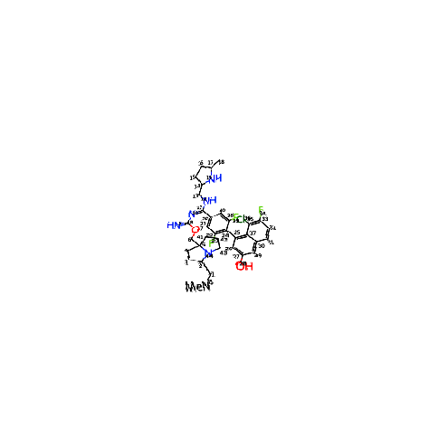 CNCC1CCC2(COC(=N)/N=C(/NCC3CCC(C)N3)c3cc(F)c(-c4cc(O)cc5ccc(F)c(Cl)c45)c(F)c3)CCCN12